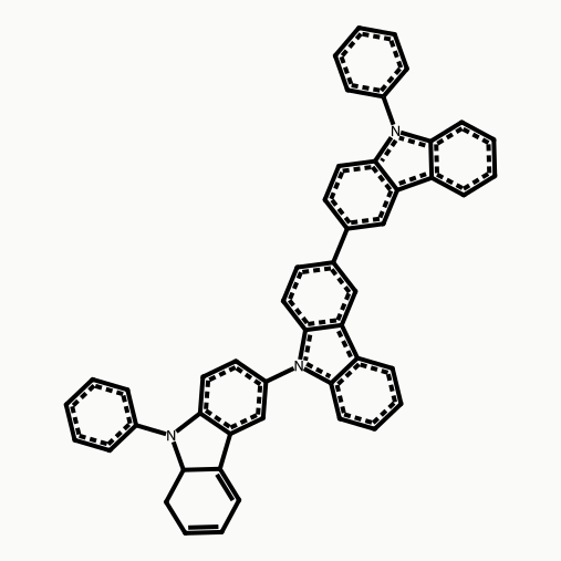 C1=CCC2C(=C1)c1cc(-n3c4ccccc4c4cc(-c5ccc6c(c5)c5ccccc5n6-c5ccccc5)ccc43)ccc1N2c1ccccc1